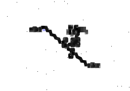 CCCCCCCC/C=C\CCCCCCCC(=O)O[C@H](COC(=O)CCCCCCCCCCCCCCCC)COP(=O)([O-])OCC[N+](C)(C)C